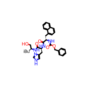 CCC(C)[C@@H](CO)NC(=O)[C@H](Cc1c[nH]cn1)NC(=O)[C@H](Cc1cccc2ccccc12)NC(=O)OCc1ccccc1